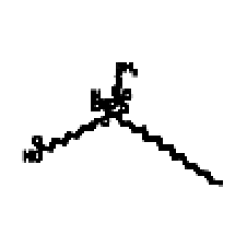 CCCCCCCCCCCCCCCCC(OP(=O)(O)OCCN)[C@H](CO)OCCCCCCCCC(=O)O